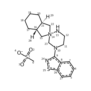 CS(=O)(=O)[O-].c1ccc2c(N3CCN[N+]4(C[C@@H]5CCCC[C@H]5C4)C3)nsc2c1